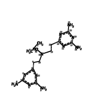 CC.Nc1nc(N)nc(CCN(O)CCc2nc(N)nc(N)n2)n1